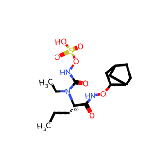 CCC[C@@H](C(=O)NOC1CC2CCC1C2)N(CC)C(=O)NOS(=O)(=O)O